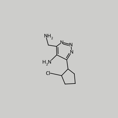 NCc1nnnc(C2CCCC2Cl)c1N